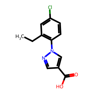 CCc1cc(Cl)ccc1-n1cc(C(=O)O)cn1